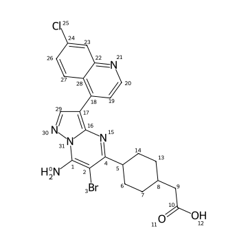 Nc1c(Br)c(C2CCC(CC(=O)O)CC2)nc2c(-c3ccnc4cc(Cl)ccc34)cnn12